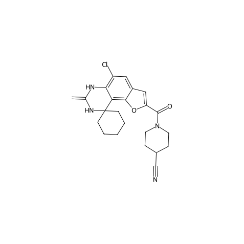 C=C1Nc2c(Cl)cc3cc(C(=O)N4CCC(C#N)CC4)oc3c2C2(CCCCC2)N1